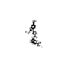 C#Cc1ccc2c(c1)nc(C)n2[C@H]1CCN(C(=O)OC2C3CC4CC2CC(C(N)=O)(C4)C3)C1